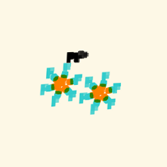 F[P-](F)(F)(F)(F)F.F[P-](F)(F)(F)(F)F.[Pt+2]